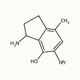 CCCc1cc(C)c2c(c1O)C(N)CC2